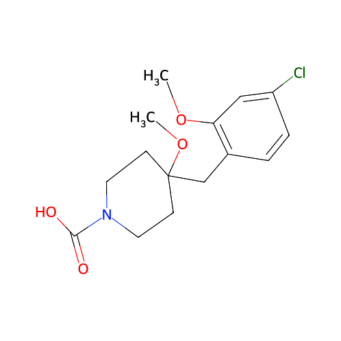 COc1cc(Cl)ccc1CC1(OC)CCN(C(=O)O)CC1